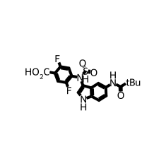 CC(C)(C)C(=O)Nc1ccc2[nH]cc(N(c3cc(F)c(C(=O)O)cc3F)[SH](=O)=O)c2c1